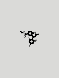 CCOC(=O)c1ccc2nc(C)cc(-c3c(F)cc(F)cc3F)c2c1